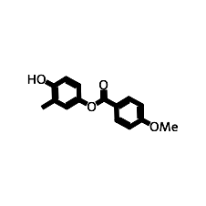 COc1ccc(C(=O)Oc2ccc(O)c(C)c2)cc1